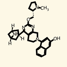 CN1CCC[C@H]1COc1nc2c(c([C@@H]3C[C@H]4C[C@@H](C3)N4)n1)CCN(c1cc(O)cc3ccccc13)C2